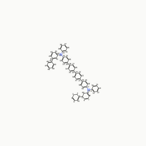 C1=CCCC(C2C=CC=C(N(c3ccccc3)c3ccc(-c4ccc(-c5ccc(-c6ccc(N(c7ccccc7)c7cccc(-c8ccccc8)c7)cc6)cc5)cc4)cc3)C2)=C1